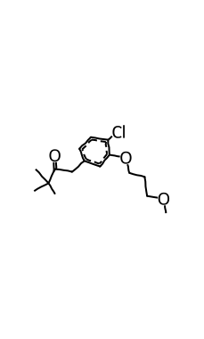 COCCCOc1cc(CC(=O)C(C)(C)C)ccc1Cl